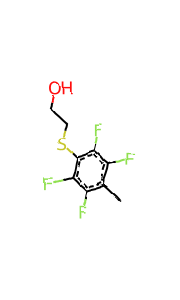 Cc1c(F)c(F)c(SCCO)c(F)c1F